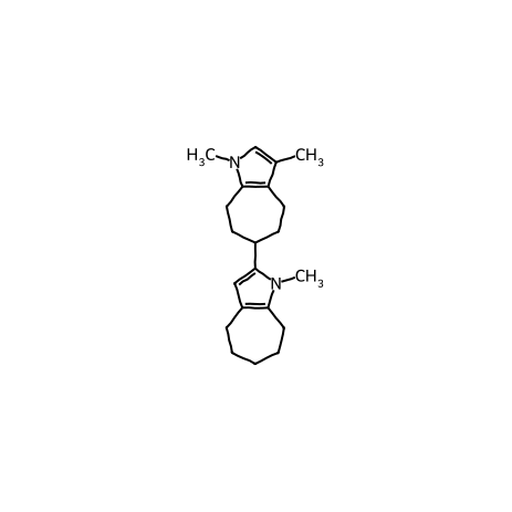 Cc1cn(C)c2c1CCC(c1cc3c(n1C)CCCCC3)CC2